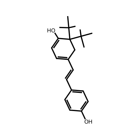 CC(C)(C)C1(C(C)(C)C)CC(C=Cc2ccc(O)cc2)=CC=C1O